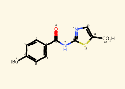 CC(C)(C)c1ccc(C(=O)Nc2ncc(C(=O)O)s2)cc1